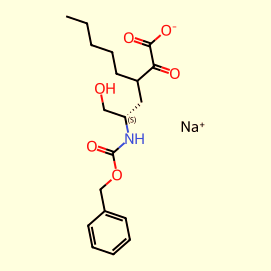 CCCCCC(C[C@@H](CO)NC(=O)OCc1ccccc1)C(=O)C(=O)[O-].[Na+]